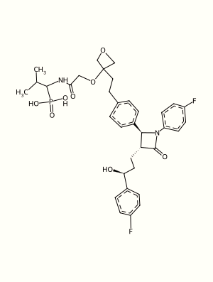 CC(C)C(NC(=O)COC1(CCc2ccc([C@@H]3[C@@H](CC[C@H](O)c4ccc(F)cc4)C(=O)N3c3ccc(F)cc3)cc2)COC1)P(=O)(O)O